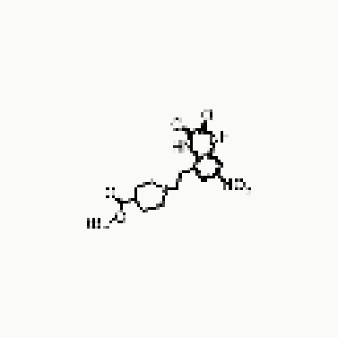 CC(C)(C)OC(=O)C1CCN(CCc2cc([N+](=O)[O-])cc3[nH]c(=O)c(=O)[nH]c23)CC1